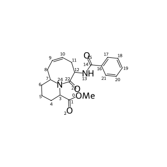 COC(=O)C1CCCC2CC=CCC(NC(=O)c3ccccc3)C(=O)N21